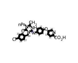 C=C1N/C(=N\c2ccc(Oc3ccc(C(=O)O)nc3)cc2)N(Cc2ccc(Cl)cc2)C(=O)N1CCC